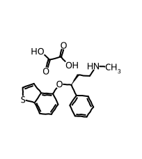 CNCC[C@H](Oc1cccc2sccc12)c1ccccc1.O=C(O)C(=O)O